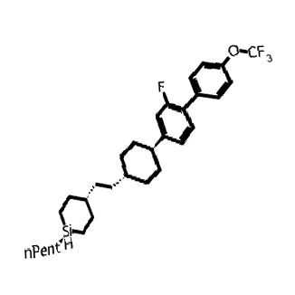 CCCCC[Si@H]1CC[C@H](CC[C@H]2CC[C@H](c3ccc(-c4ccc(OC(F)(F)F)cc4)c(F)c3)CC2)CC1